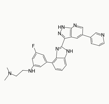 CN(C)CCNc1cc(F)cc(-c2cccc3[nH]c(-c4n[nH]c5ncc(-c6cccnc6)cc45)nc23)c1